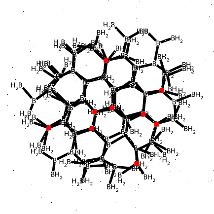 BBB(B(B)B)B(B(B(B)B)B(B)B)B(B(B(B)B)B(B)B)B(B(B(B(B(B)B)B(B)B)B(B(B)B)B(B)B)B(B(B(B)B)B(B)B)B(B(B)B)B(B)B)B(B(B(B(B(B)B)B(B)B)B(B(B)B)B(B)B)B(B(B(B)B)B(B)B)B(B(B)B)B(B)B)B(B(B(B(B(B)B)B(B)B)B(B(B)B)B(B)B)B(B(B(B)B)B(B)B)B(B(B)B)B(B)B)B(B(B(B(B)B)B(B)B)B(B(B)B)B(B)B)B(B(B(B)B)B(B)B)B(B(B)B)B(B)B